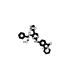 C[C@@]12CCCCN1C(=O)c1ccc(Nc3ncc(-c4nnco4)c(N[C@H](CO)c4ccccc4)n3)cc12